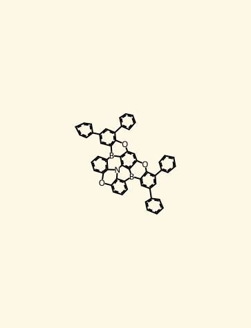 c1ccc(-c2cc3c(c(-c4ccccc4)c2)Oc2cc4c5c6c2B3c2cccc3c2N6c2c(cccc2B5c2cc(-c5ccccc5)cc(-c5ccccc5)c2O4)O3)cc1